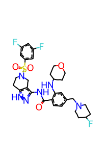 O=C(Nc1n[nH]c2c1CN(S(=O)(=O)c1cc(F)cc(F)c1)CC2)c1ccc(CN2CCC(F)CC2)cc1NC1CCOCC1